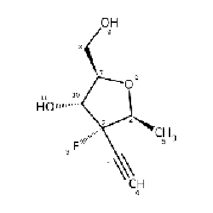 C#C[C@]1(F)[C@H](C)O[C@H](CO)[C@H]1O